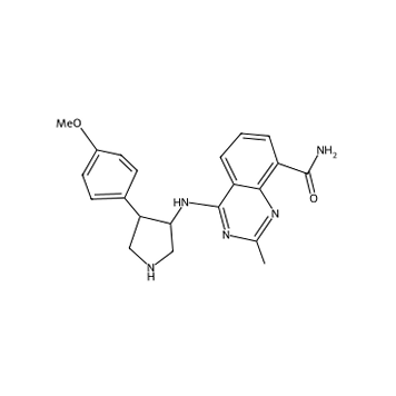 COc1ccc(C2CNCC2Nc2nc(C)nc3c(C(N)=O)cccc23)cc1